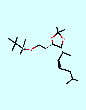 CC(C)C/C=C\C(C)[C@H]1OC(C)(C)O[C@H]1CCO[Si](C)(C)C(C)(C)C